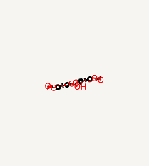 CC(C)(c1ccc(OCC(O)Oc2ccc(C(C)(C)c3ccc(OCC4CO4)cc3)cc2)cc1)c1ccc(OCC2CO2)cc1